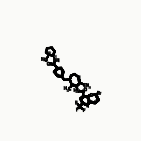 CC1=NCCC(Cc2ccc(C(=O)N[C@H]3CCCC[C@@H]3O)cc2)C(C)=C1NC(=O)c1cc(C(F)(F)F)nc2ccc(Br)cc12